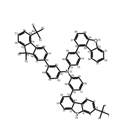 CC(C)(C)c1ccc2c(c1)sc1cccc(-c3cccc(N(c4ccc(-c5cccc6oc7ccccc7c56)cc4)c4cccc(-c5ccc6c(c5)C(C)(C)c5cccc(C(C)(C)C)c5-6)c4)c3)c12